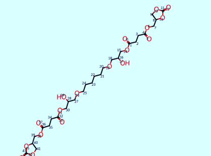 O=C(CCC(=O)OCC1COC(=O)O1)OCC(O)COCCCCCCOCC(O)COC(=O)CCC(=O)OCC1COC(=O)O1